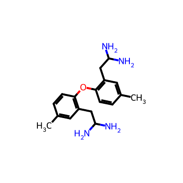 Cc1ccc(Oc2ccc(C)cc2CC(N)N)c(CC(N)N)c1